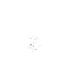 CCCCCCCCCCC(N)C(=O)NC(CC(=O)N[C@@H]1OC(CO)[C@@H](O)[C@H](O)C1NC(C)=O)C(=O)C(C)C